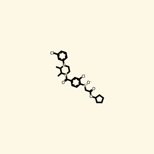 CC1C(C)N(c2cccc(Cl)c2)CCN1C(=O)c1ccc([S+]([O-])CC(=O)OC2CCCC2)c(Cl)c1